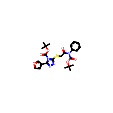 CC(C)(C)OC(=O)N(C(=O)CSc1nnc(-c2ccoc2)n1C(=O)OC(C)(C)C)c1ccccc1